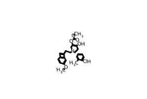 COC(=O)OC1=C(O)CCN(CCC2=Cc3ccc(OC)cc32)C1.Cc1ccccc1.Cl